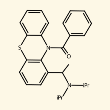 CC(C)N(C(C)C)C(C)c1cccc2c1N(C(=O)c1ccccc1)c1ccccc1S2